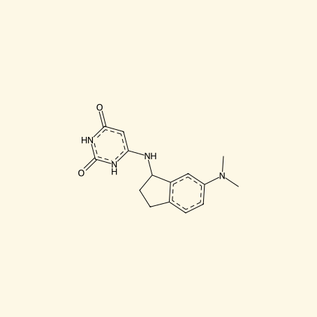 CN(C)c1ccc2c(c1)C(Nc1cc(=O)[nH]c(=O)[nH]1)CC2